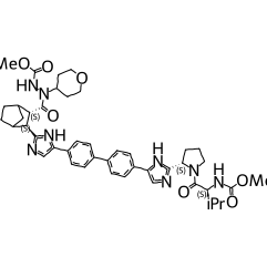 COC(=O)N[C@H](C(=O)N1CCC[C@H]1c1ncc(-c2ccc(-c3ccc(-c4cnc([C@H]5C6CCC(C6)[C@@H]5C(=O)N(NC(=O)OC)C5CCOCC5)[nH]4)cc3)cc2)[nH]1)C(C)C